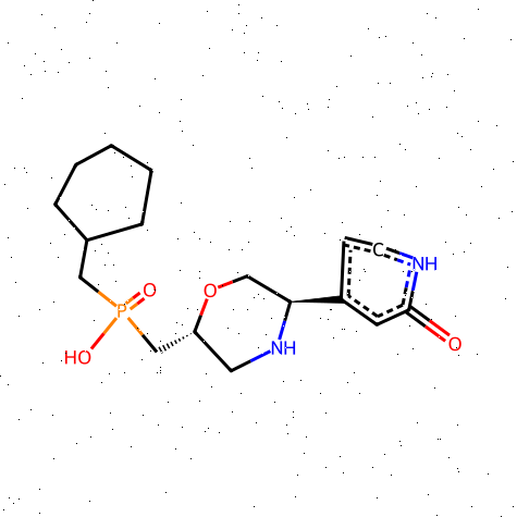 O=c1cc([C@@H]2CO[C@@H](CP(=O)(O)CC3CCCCC3)CN2)cc[nH]1